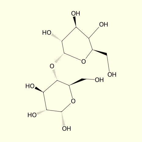 OC[C@H]1O[C@H](O[C@H]2[C@H](O)[C@@H](O)[C@@H](O)O[C@@H]2CO)[C@H](O)[C@@H](O)C1O